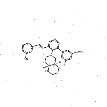 COc1cc(F)cc(-c2cncc(/C=C/c3cncc(C#N)c3)c2N2CC[C@H]3NCCO[C@@H]3C2)c1